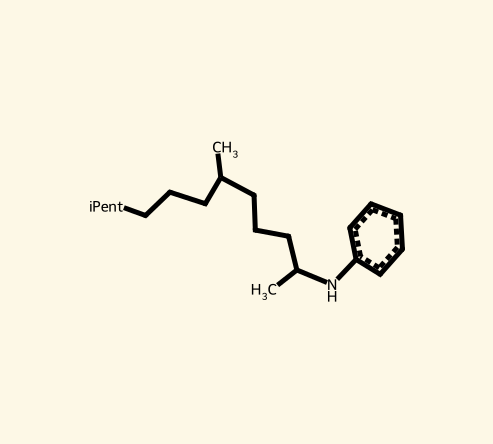 CCCC(C)CCCC(C)CCCC(C)Nc1ccccc1